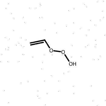 C=COOO